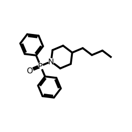 CCCCC1CCN(P(=O)(c2ccccc2)c2ccccc2)CC1